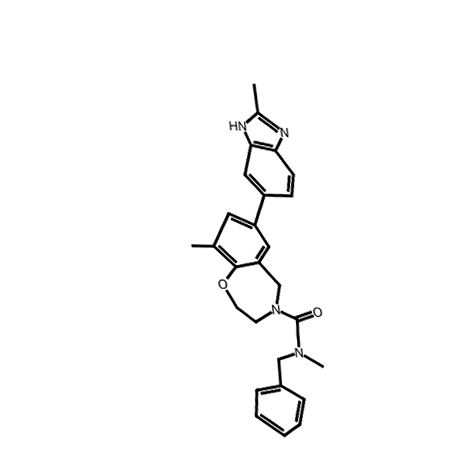 Cc1nc2ccc(-c3cc(C)c4c(c3)CN(C(=O)N(C)Cc3ccccc3)CCO4)cc2[nH]1